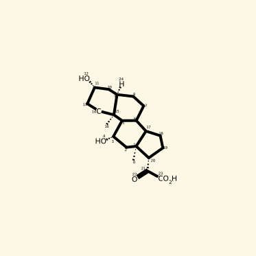 C[C@]12C[C@H](O)C3C(CC[C@@H]4C[C@@H](O)CC[C@]34C)C1CC[C@@H]2C(=O)C(=O)O